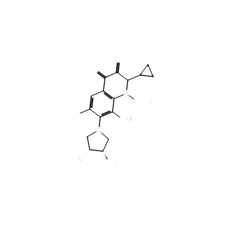 COc1c(N2C[C@@H](C)[C@H](N)C2)c(F)cc2c1N(C(=O)O)C(C1CC1)C(=O)C2=O